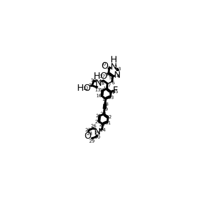 O=c1[nH]cnc(C[C@H](CN2CC(O)C2)c2ccc(C#Cc3ccc(CN4CCOCC4)cc3)cc2F)c1O